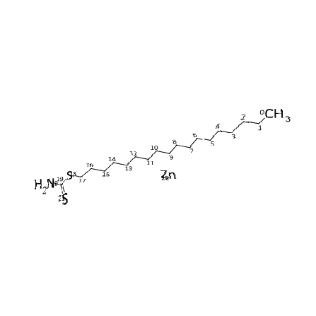 CCCCCCCCCCCCCCCCCCSC(N)=S.[Zn]